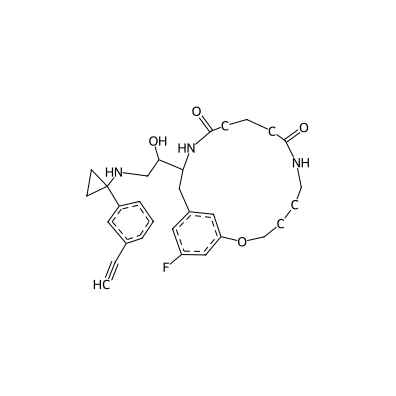 C#Cc1cccc(C2(NCC(O)C3Cc4cc(F)cc(c4)OCCCCNC(=O)CCCC(=O)N3)CC2)c1